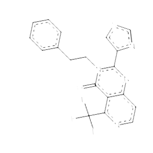 O=c1c2c(C(F)(F)F)nccc2nc(-c2cscn2)n1CCc1ccccc1